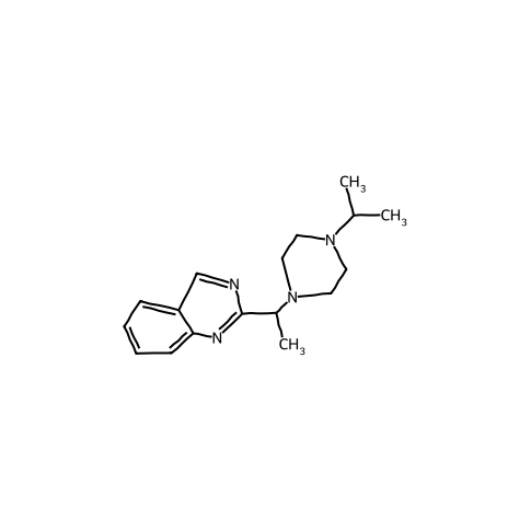 CC(C)N1CCN(C(C)c2ncc3ccccc3n2)CC1